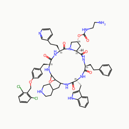 NCCNC(=O)O[C@@H]1C[C@H]2C(=O)N[C@@H](CCc3ccccc3)C(=O)N[C@H](Cc3c[nH]c4ccccc34)C(=O)NC(CC3CCNCC3)C3OC3N[C@@H](Cc3ccc(OCc4c(Cl)cccc4Cl)cc3)C(=O)N[C@@H](CCc3cccnc3)C(=O)N2C1